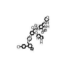 N=C1C([N+](=O)[O-])=CC([S+]([O-])NC(=O)c2ccc(N3CCN(CC4=C(c5ccc(Cl)cc5)CC5(CCC5)CC4)CC3)cc2Oc2cnc3[nH]ccc3c2)=C/C1=C/NC1CCOCC1